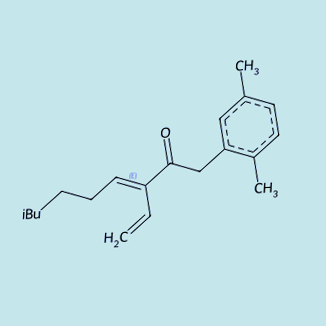 C=C/C(=C\CCC(C)CC)C(=O)Cc1cc(C)ccc1C